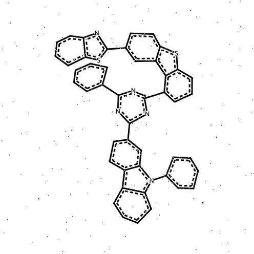 c1ccc(-c2nc(-c3ccc4c5ccccc5n(-c5ccccc5)c4c3)nc(-c3cccc4sc5ccc(-c6nc7ccccc7s6)cc5c34)n2)cc1